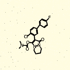 CN(C)C(=O)Oc1c(-c2cc(-c3ccc(F)cc3)ccc2Cl)c(=O)n2n1CCCC2